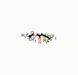 C=C(C)C(=O)OCC(O)CC(F)(F)C(F)(F)C(F)(C(F)(F)F)C(F)(F)F